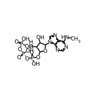 CNc1ncnc2c1ncn2C1OC(OP(=O)(O)OP(=O)(O)OP(=O)(O)O)C(O)C1O